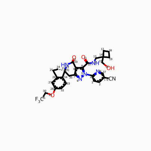 N#Cc1ccc(-n2nc3c(c2C(=O)NCC2(CO)CCC2)C(=O)N[C@@]2(CCc4cc(OCC(F)(F)F)ccc42)C3)nc1